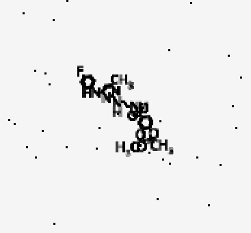 COC(=O)[C@@H](C)Oc1ccc(S(=O)(=O)NCCNc2nc(C)cc(Nc3ccc(F)cc3)n2)cc1